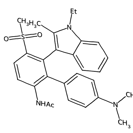 CCn1c(C)c(-c2c(S(C)(=O)=O)ccc(NC(C)=O)c2-c2ccc(N(C)C)cc2)c2ccccc21